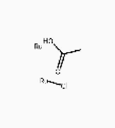 CC(=O)O.[Cl][Ru].[Ru]